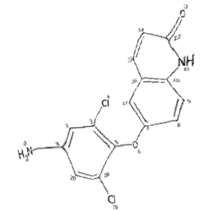 Nc1cc(Cl)c(Oc2ccc3[nH]c(=O)ccc3c2)c(Cl)c1